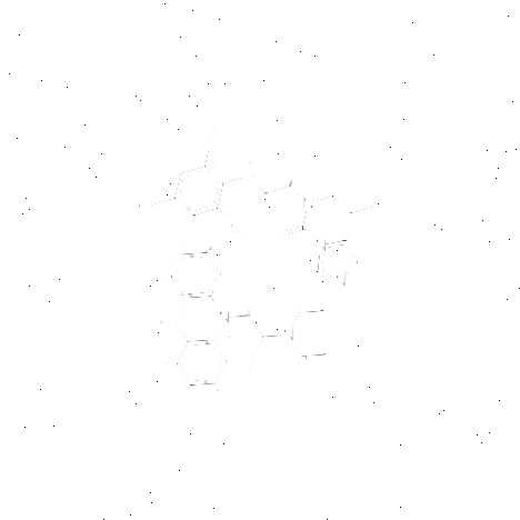 CCCN(CCOc1c(Cl)cc(Cl)cc1Cl)C(=O)n1ccnc1.CCN(CC)C(C)CN1c2ccccc2Sc2ccccc21